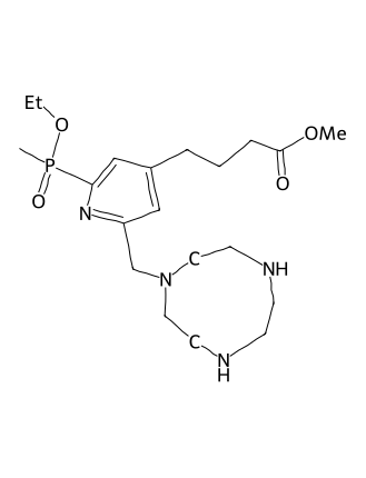 CCOP(C)(=O)c1cc(CCCC(=O)OC)cc(CN2CCNCCNCC2)n1